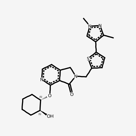 Cc1nn(C)cc1-c1ccc(CN2Cc3ccnc(O[C@H]4CCCC[C@@H]4O)c3C2=O)s1